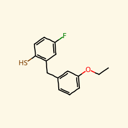 CCOc1cccc(Cc2cc(F)ccc2S)c1